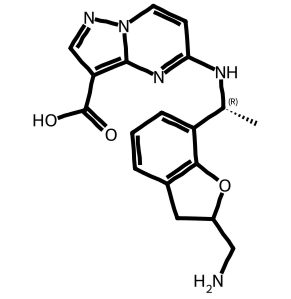 C[C@@H](Nc1ccn2ncc(C(=O)O)c2n1)c1cccc2c1OC(CN)C2